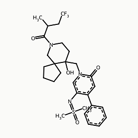 CC(CC(F)(F)F)C(=O)N1CCC(O)(Cn2cc(N=S(C)(C)=O)c(-c3ccccc3)cc2=O)C2(CCCC2)C1